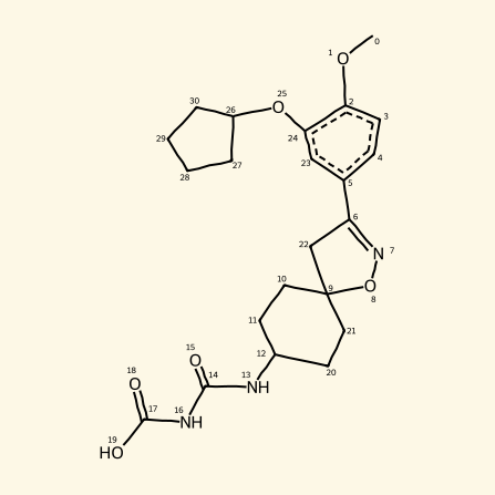 COc1ccc(C2=NOC3(CCC(NC(=O)NC(=O)O)CC3)C2)cc1OC1CCCC1